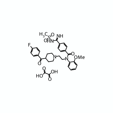 COc1ccccc1N(CCN1CCC(C(=O)c2ccc(F)cc2)CC1)C(=O)c1ccc(C(=N)NS(C)(=O)=O)cc1.O=C(O)C(=O)O